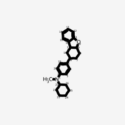 CN(c1ccc(C2CCC3Oc4ccccc4C3C2)cc1)C1CCCCC1